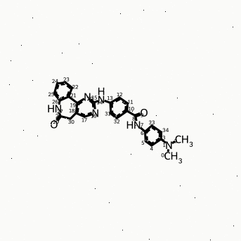 CN(C)c1ccc(NC(=O)c2ccc(Nc3ncc4c(n3)-c3ccccc3NC(=O)C4)cc2)cc1